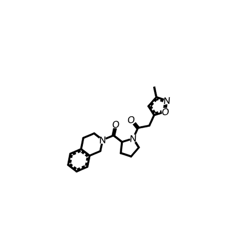 Cc1cc(CC(=O)N2CCCC2C(=O)N2CCc3ccccc3C2)on1